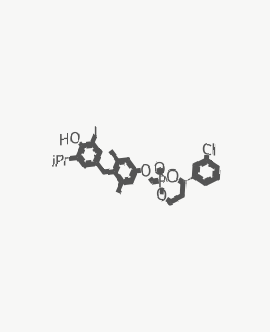 Cc1cc(OCP2(=O)OCC[C@@H](c3cccc(Cl)c3)O2)cc(C)c1Cc1cc(I)c(O)c(C(C)C)c1